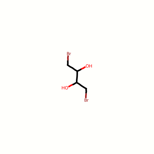 OC(CBr)C(O)CBr